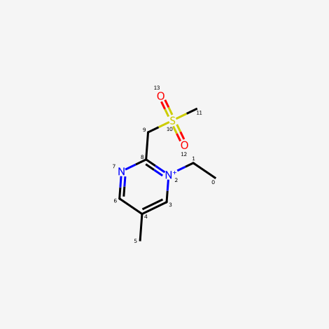 CC[n+]1cc(C)cnc1CS(C)(=O)=O